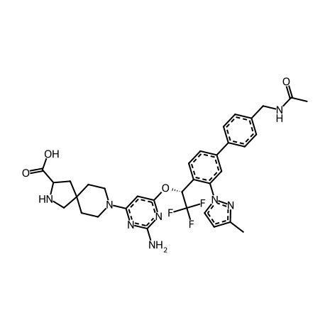 CC(=O)NCc1ccc(-c2ccc([C@@H](Oc3cc(N4CCC5(CC4)CNC(C(=O)O)C5)nc(N)n3)C(F)(F)F)c(-n3ccc(C)n3)c2)cc1